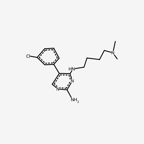 CN(C)CCCCNc1nc(N)ncc1-c1cccc(Cl)c1